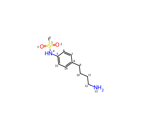 CS(=O)(=O)Nc1ccc(CCCCN)cc1